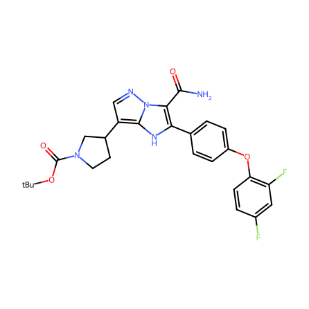 CC(C)(C)OC(=O)N1CCC(c2cnn3c(C(N)=O)c(-c4ccc(Oc5ccc(F)cc5F)cc4)[nH]c23)C1